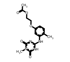 CC(=O)OCCOc1ccc(C)c(Nc2nc(=O)n(C)c(=O)[nH]2)c1